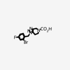 O=C(O)N1CCc2c(nnn2Cc2ccc(F)cc2Br)C1